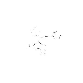 CC(C)(C)c1cc(C(C#Cc2ccccc2)N2CCOCC2)c(O)c(C(C)(C)C)c1